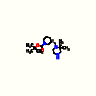 CC(C)(C)OC(=O)N1CCC[C@H](CN2CCNCC2(C)C)C1